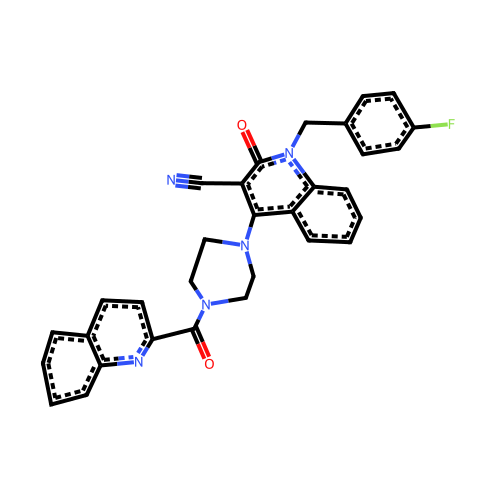 N#Cc1c(N2CCN(C(=O)c3ccc4ccccc4n3)CC2)c2ccccc2n(Cc2ccc(F)cc2)c1=O